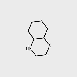 [CH]1CNC2CCCCC2S1